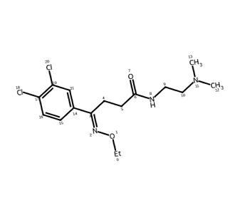 CCO/N=C(\CCC(=O)NCCN(C)C)c1ccc(Cl)c(Cl)c1